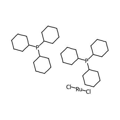 C1CCC(P(C2CCCCC2)C2CCCCC2)CC1.C1CCC(P(C2CCCCC2)C2CCCCC2)CC1.[Cl][Ru][Cl]